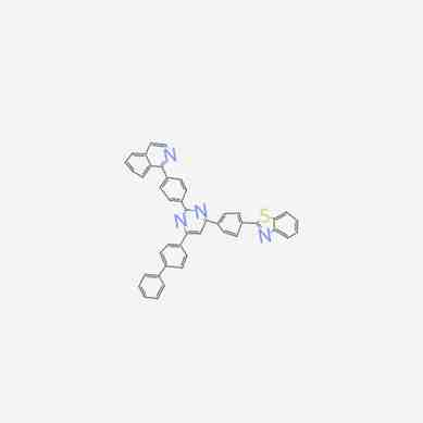 c1ccc(-c2ccc(-c3cc(-c4ccc(-c5nc6ccccc6s5)cc4)nc(-c4ccc(-c5nccc6ccccc56)cc4)n3)cc2)cc1